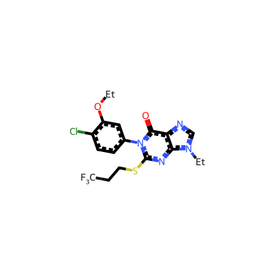 CCOc1cc(-n2c(SCCC(F)(F)F)nc3c(ncn3CC)c2=O)ccc1Cl